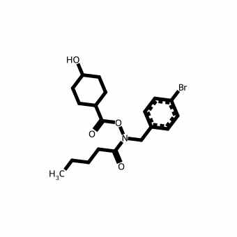 CCCCC(=O)N(Cc1ccc(Br)cc1)OC(=O)C1CCC(O)CC1